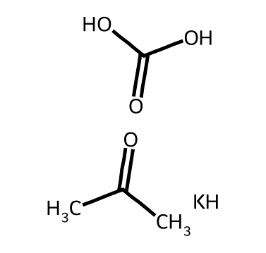 CC(C)=O.O=C(O)O.[KH]